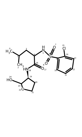 CC(C)CC(NS(=O)(=O)c1ccccc1Cl)C(=O)N[C@H]1CCOC1O